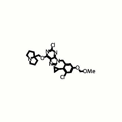 COCOc1cc(Cl)c(C2CC2)c(Cn2cnc3c(OCC45CCCN4CCC5)nc(Cl)nc32)c1